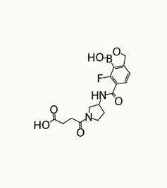 O=C(O)CCC(=O)N1CCC(NC(=O)c2ccc3c(c2F)B(O)OC3)C1